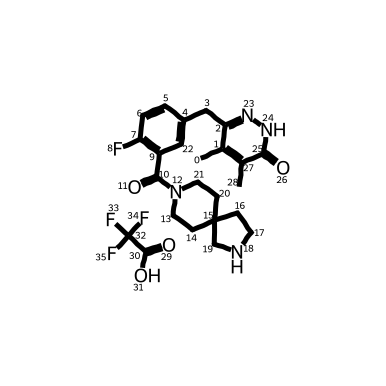 Cc1c(Cc2ccc(F)c(C(=O)N3CCC4(CCNC4)CC3)c2)n[nH]c(=O)c1C.O=C(O)C(F)(F)F